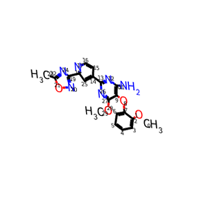 COc1ccccc1Oc1c(N)nc(-c2ccnc(-c3noc(C)n3)c2)nc1OC